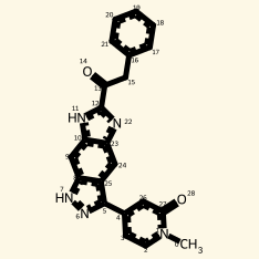 Cn1ccc(-c2n[nH]c3cc4[nH]c(C(=O)Cc5ccccc5)nc4cc23)cc1=O